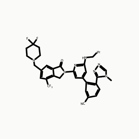 CC(C)CNc1cc(-c2cc(C#N)ccc2-c2nncn2C)cc(N2Cc3c(cc(CN4CCC(F)(F)CC4)cc3C(F)(F)F)C2=O)n1